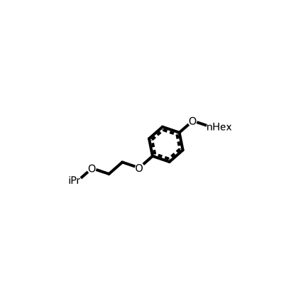 CCCCCCOc1ccc(OCCOC(C)C)cc1